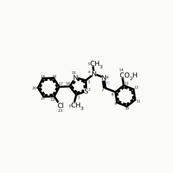 Cc1sc(N(C)/N=C/c2ccccc2C(=O)O)nc1-c1ccccc1Cl